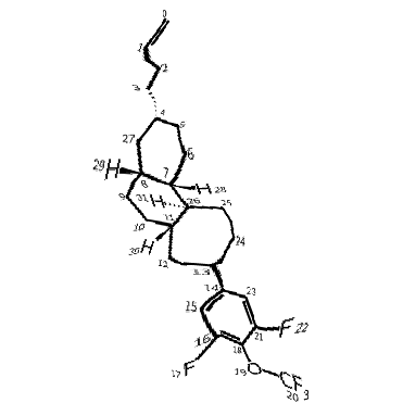 C=CCC[C@@H]1CC[C@H]2[C@H](CC[C@H]3CC(c4cc(F)c(OC(F)(F)F)c(F)c4)CC[C@@H]32)C1